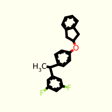 CC(c1ccc(OC2Cc3ccccc3C2)cc1)c1cc(F)cc(F)c1